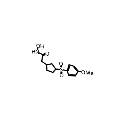 COc1ccc(S(=O)(=O)C2CCC(CC(=O)NO)C2)cc1